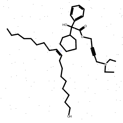 CCCCCCCC/C=C\CCCCCCCCO.CCN(CC)CC#CCOC(=O)C(O)(c1ccccc1)C1CCCCC1